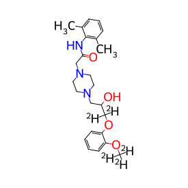 [2H]C([2H])([2H])Oc1ccccc1OC([2H])([2H])C(O)CN1CCN(CC(=O)Nc2c(C)cccc2C)CC1